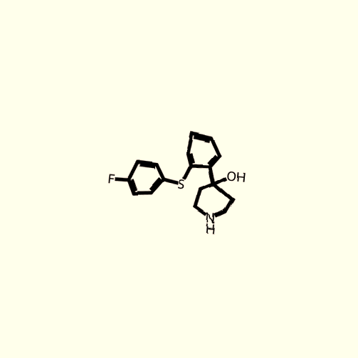 OC1(c2ccccc2Sc2ccc(F)cc2)CCNCC1